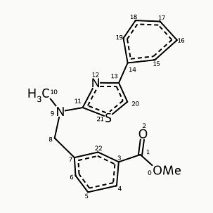 COC(=O)c1cccc(CN(C)c2nc(-c3ccccc3)cs2)c1